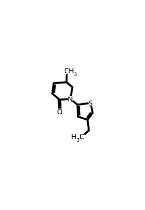 CCc1csc(N2CC(C)C=CC2=O)c1